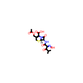 CC(=O)OCC1=C(C(=O)O)N2C(=O)[C@@H](NC(=O)C(=NO)C(=O)C(C)C)[C@@H]2SC1